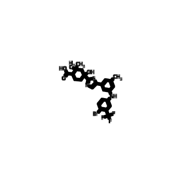 Cc1cc(Nc2ccc(Br)c(C(F)(F)F)c2)cc(-c2cnc(C3(O)CCC(C(=O)O)C(C)(C)C3)s2)c1